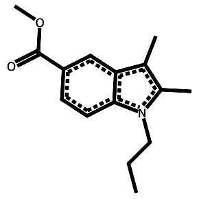 CCCn1c(C)c(C)c2cc(C(=O)OC)ccc21